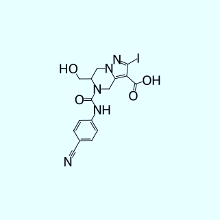 N#Cc1ccc(NC(=O)N2Cc3c(C(=O)O)c(I)nn3CC2CO)cc1